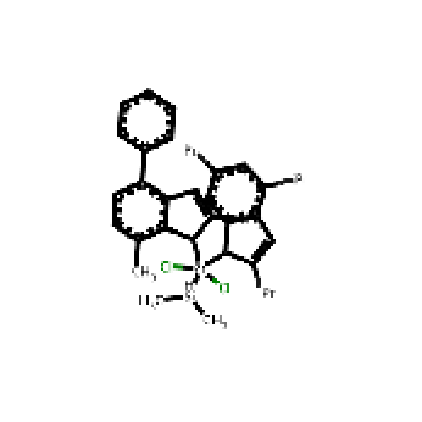 CC1=Cc2c(-c3ccccc3)ccc(C)c2[CH]1[Zr]([Cl])([Cl])([CH]1C(C(C)C)=Cc2c(C(C)C)cc(C(C)C)cc21)[SiH](C)C